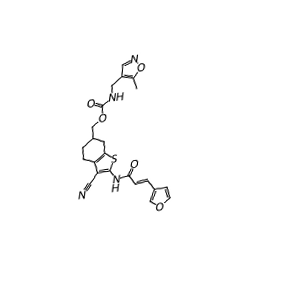 Cc1oncc1CNC(=O)OCC1CCc2c(sc(NC(=O)C=Cc3ccoc3)c2C#N)C1